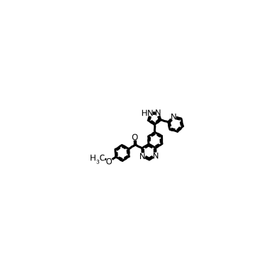 COc1ccc(C(=O)c2ncnc3ccc(-c4c[nH]nc4-c4ccccn4)cc23)cc1